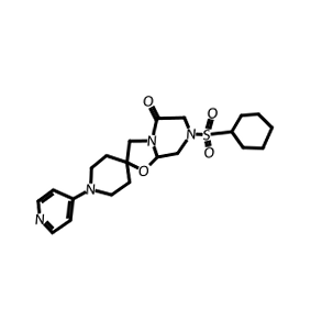 O=C1CN(S(=O)(=O)C2CCCCC2)CC2OC3(CCN(c4ccncc4)CC3)CN12